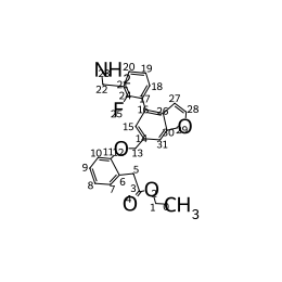 CCOC(=O)Cc1ccccc1OCc1cc(-c2cccc(CN)c2F)c2ccoc2c1